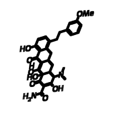 COc1cccc(CCc2ccc(O)c3c2CC2CC4C(N(C)C)C(O)=C(C(N)=O)C(=O)C4(O)C(O)=C2C3=O)c1